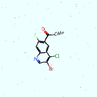 COC(=O)c1cc2c(Cl)c(Br)cnc2cc1F